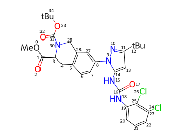 COC(=O)[C@@H]1Cc2ccc(-n3nc(C(C)(C)C)cc3NC(=O)Nc3cccc(Cl)c3Cl)cc2CN1C(=O)OC(C)(C)C